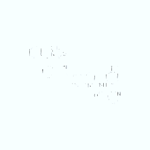 CN(Cc1ccccc1)C(=O)C(NCc1ccc2nc(NC(=O)c3cccnc3-c3ccc(C(F)(F)F)cc3)ccc2c1)c1ccccc1